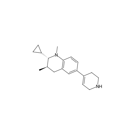 C[C@@H]1Cc2cc(C3=CCNCC3)ccc2N(C)[C@H]1C1CC1